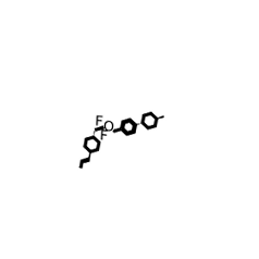 CC=C[C@H]1CC[C@H](CC(F)(F)OCc2ccc([C@H]3CC[C@H](C)CC3)cc2)CC1